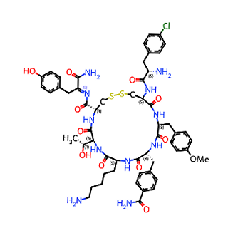 COc1ccc(C[C@@H]2NC(=O)[C@H](NC(=O)[C@@H](N)Cc3ccc(Cl)cc3)CSSC[C@@H](C(=O)/N=C(\Cc3ccc(O)cc3)C(N)=O)NC(=O)[C@H]([C@@H](C)O)NC(=O)[C@H](CCCCCN)NC(=O)[C@@H](Cc3ccc(C(N)=O)cc3)NC2=O)cc1